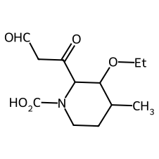 CCOC1C(C)CCN(C(=O)O)C1C(=O)CC=O